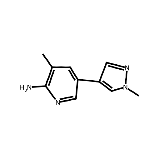 Cc1cc(-c2cnn(C)c2)cnc1N